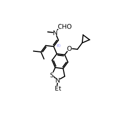 CCN1Cc2cc(OCC3CC3)c(/C(C=C(C)C)=C/N(C)C=O)cc2S1